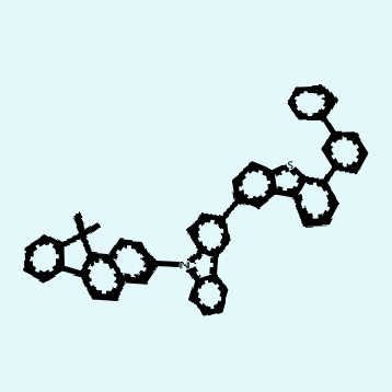 CC1(C)c2ccccc2-c2ccc3cc(-n4c5ccccc5c5cc(-c6ccc7sc8c(-c9cccc(-c%10ccccc%10)c9)cccc8c7c6)ccc54)ccc3c21